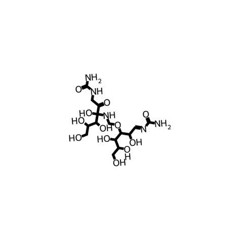 NC(=O)N=CC(O)C(OCNC(O)(C(=O)CNC(N)=O)C(O)C(O)CO)C(O)C(O)CO